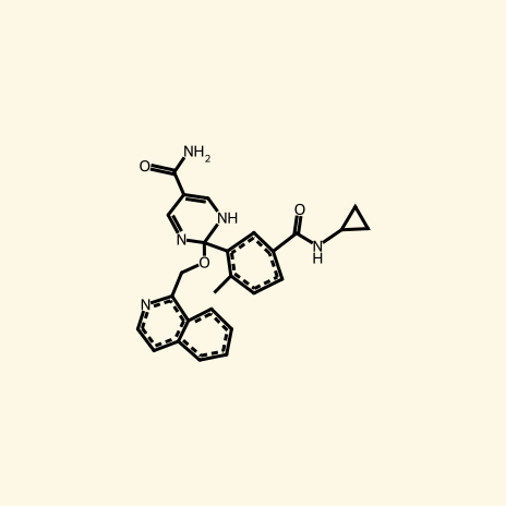 Cc1ccc(C(=O)NC2CC2)cc1C1(OCc2nccc3ccccc23)N=CC(C(N)=O)=CN1